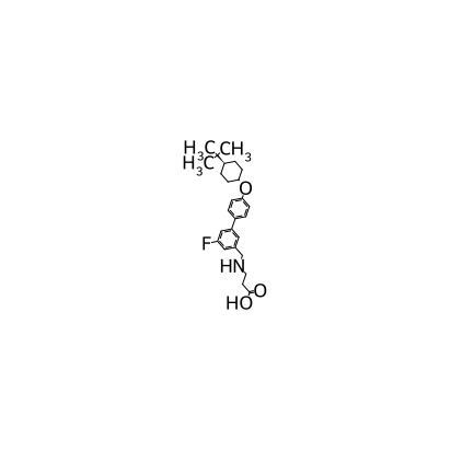 CC(C)(C)[C@H]1CC[C@H](Oc2ccc(-c3cc(F)cc(CNCCC(=O)O)c3)cc2)CC1